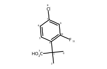 CC(C)(C(=O)O)c1ccc(Cl)cc1F